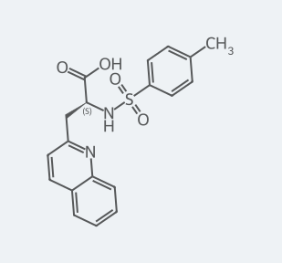 Cc1ccc(S(=O)(=O)N[C@@H](Cc2ccc3ccccc3n2)C(=O)O)cc1